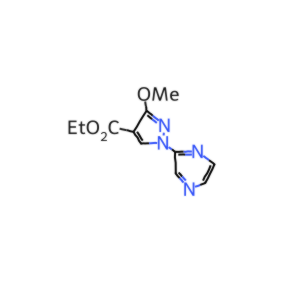 CCOC(=O)c1cn(-c2cnccn2)nc1OC